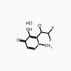 Cl.Cn1ccc(=O)c(O)c1C(Cl)C(F)F